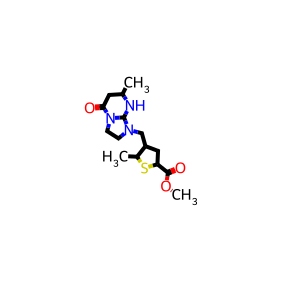 COC(=O)C1CC(CN2CCN3C(=O)CC(C)NC23)C(C)S1